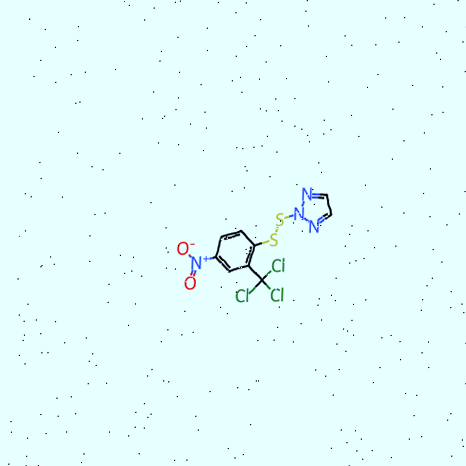 O=[N+]([O-])c1ccc(SSn2nccn2)c(C(Cl)(Cl)Cl)c1